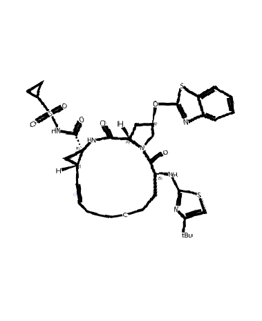 CC(C)(C)c1csc(N[C@H]2CCCCC/C=C\[C@@H]3C[C@@]3(C(=O)NS(=O)(=O)C3CC3)NC(=O)[C@@H]3C[C@@H](Oc4nc5ccccc5s4)CN3C2=O)n1